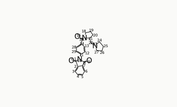 O=C1c2ccccc2C(=O)N1c1ccc(C(=O)N2CCC[C@H]2CN2CCCC2)cc1